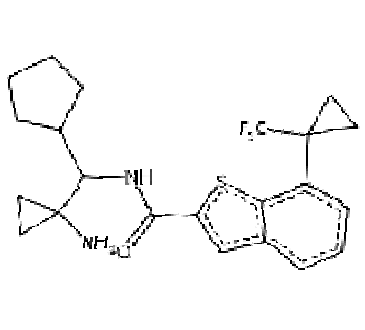 NC1(C(NC(=O)c2cc3cccc(C4(C(F)(F)F)CC4)c3s2)C2CCCC2)CC1